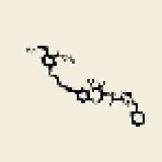 C=Nc1cc(OCCC#Cc2ccc3c(c2)N(C)C(=O)C(NC(=O)c2ncn(Cc4ccccc4)n2)CO3)ccc1/C=C\C